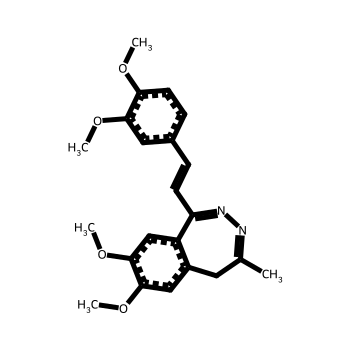 COc1ccc(/C=C/C2=NN=C(C)Cc3cc(OC)c(OC)cc32)cc1OC